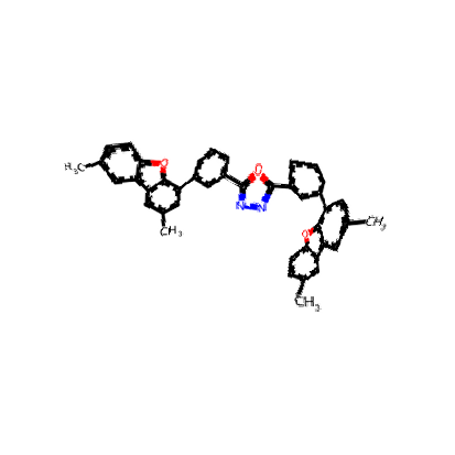 Cc1ccc2oc3c(-c4cccc(-c5nnc(-c6cccc(-c7cc(C)cc8c7oc7ccc(C)cc78)c6)o5)c4)cc(C)cc3c2c1